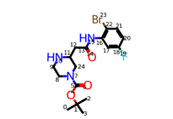 CC(C)(C)OC(=O)N1CCNC(CC(=O)Nc2cc(F)ccc2Br)C1